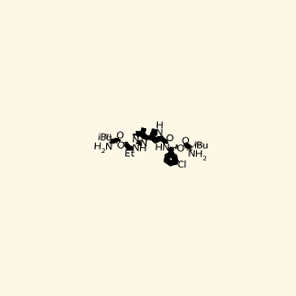 CC[C@H](COC(=O)[C@@H](N)[C@@H](C)CC)Nc1ncc(C)c(-c2c[nH]c(C(=O)N[C@H](COC(=O)[C@@H](N)[C@@H](C)CC)c3cccc(Cl)c3)c2)n1